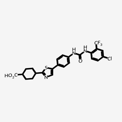 O=C(Nc1ccc(-c2cnc(C3CCC(C(=O)O)CC3)s2)cc1)Nc1ccc(Cl)cc1C(F)(F)F